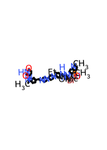 CCc1cc(Nc2ncc(Br)c(Nc3ccc4nc(C)ccc4c3P(C)(C)=O)n2)c(OC)cc1N1CCC(N2CCN(CCc3ccc4c(C)nn(C5CCC(=O)NC5=O)c4c3)CC2)CC1